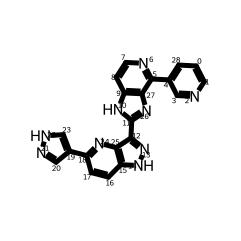 c1cncc(-c2nccc3[nH]c(-c4n[nH]c5ccc(-c6cn[nH]c6)nc45)nc23)c1